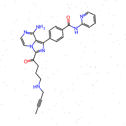 CC#CCNCCCC(=O)c1nc(-c2ccc(C(=O)Nc3ccccn3)cc2)c2c(N)nccn12